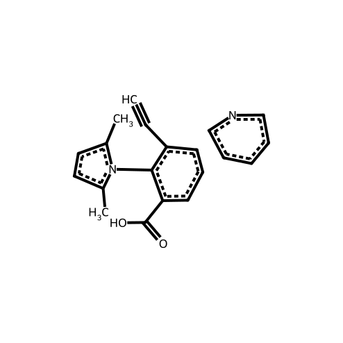 C#Cc1cccc(C(=O)O)c1-n1c(C)ccc1C.c1ccncc1